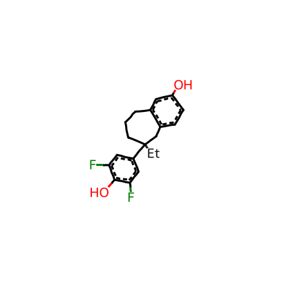 CCC1(c2cc(F)c(O)c(F)c2)CCCc2cc(O)ccc2C1